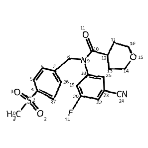 CS(=O)(=O)c1ccc(CN(C(=O)C2CCOCC2)c2cc(F)cc(C#N)c2)cc1